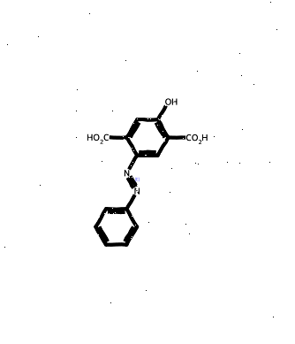 O=C(O)c1cc(/N=N/c2ccccc2)c(C(=O)O)cc1O